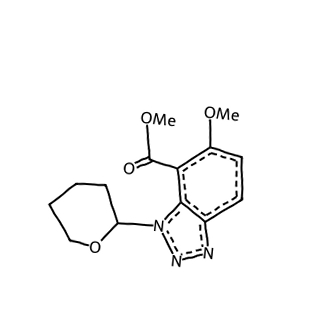 COC(=O)c1c(OC)ccc2nnn(C3CCCCO3)c12